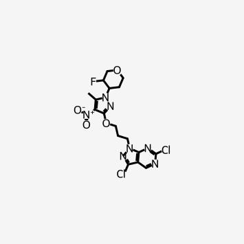 Cc1c([N+](=O)[O-])c(OCCCn2nc(Cl)c3cnc(Cl)nc32)nn1C1CCOCC1F